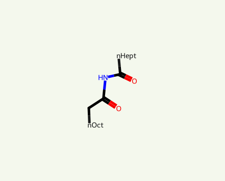 CCCCCCCCCC(=O)NC(=O)CCCCCCC